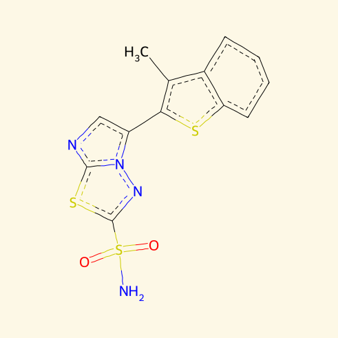 Cc1c(-c2cnc3sc(S(N)(=O)=O)nn23)sc2ccccc12